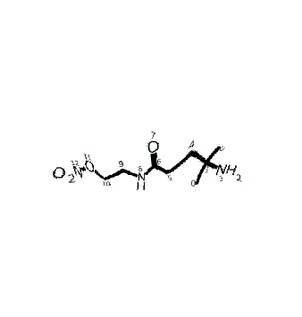 CC(C)(N)CCC(=O)NCCO[N+](=O)[O-]